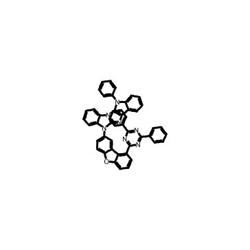 c1ccc(-c2nc(-c3ccccc3)nc(-c3cccc4oc5ccc(-n6c7ccccc7n7c6nc6c8ccccc8n(-c8ccccc8)c67)cc5c34)n2)cc1